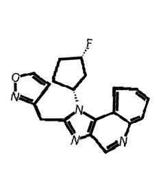 F[C@H]1CC[C@@H](n2c(Cc3ccon3)nc3cnc4ccccc4c32)C1